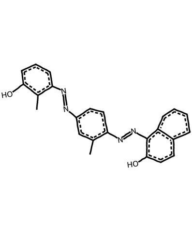 Cc1cc(N=Nc2cccc(O)c2C)ccc1N=Nc1c(O)ccc2ccccc12